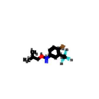 CC(C)CONc1ccc(Br)c(C(F)(F)F)c1